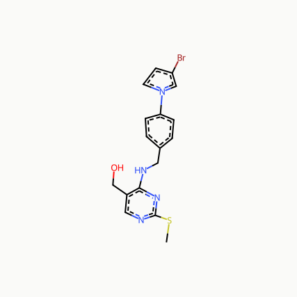 CSc1ncc(CO)c(NCc2ccc(-n3ccc(Br)c3)cc2)n1